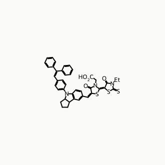 CCN1C(=O)/C(=c2/s/c(=C/c3ccc4c(c3)C3CCCC3N4c3ccc(C=C(c4ccccc4)c4ccccc4)cc3)c(=O)n2CC(=O)O)SC1=S